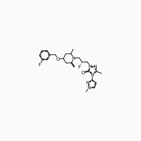 C=C1CC(OCc2cccc(F)c2)CC(C)N1C[C@@H](F)Cn1nc(C)n(-c2ccn(C)n2)c1=O